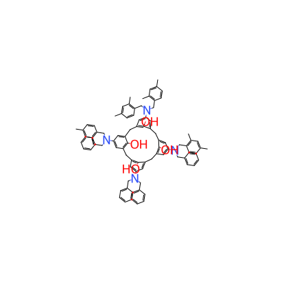 Cc1ccc(CN(Cc2ccccc2)c2cc3c(O)c(c2)Cc2cc(N(Cc4ccc(C)cc4C)Cc4ccc(C)cc4C)cc(c2O)Cc2cc(N(Cc4ccccc4)Cc4ccc(C)cc4C)cc(c2O)Cc2cc(N(Cc4ccccc4)Cc4ccccc4)cc(c2O)C3)c(C)c1